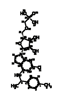 Cc1ccc(C(C)Nc2nc(Cl)nc3c2ccn3[C@@H]2O[C@H](COCP(=O)(O)O)[C@@H](O)[C@H]2O)cc1